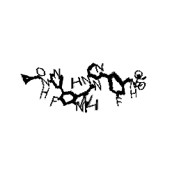 CS(=O)(=O)NCc1cc(F)cc(-c2nccc3[nH]c(-c4n[nH]c5cc(F)c(-c6cncc(NC(=O)C7CC7)c6)cc45)nc23)c1